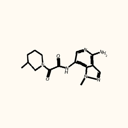 CC1CCCN(C(=O)C(=O)Nc2cnc(N)c3cnn(C)c23)C1